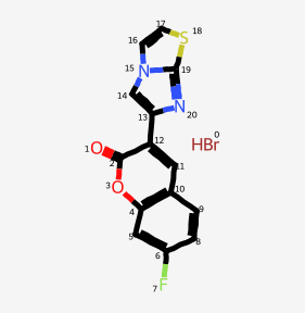 Br.O=c1oc2cc(F)ccc2cc1-c1cn2ccsc2n1